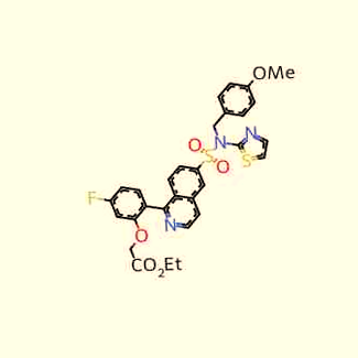 CCOC(=O)COc1cc(F)ccc1-c1nccc2cc(S(=O)(=O)N(Cc3ccc(OC)cc3)c3nccs3)ccc12